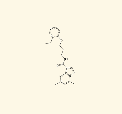 CCc1ccccc1OCCCNC(=O)c1ccn2c(C)cc(C)nc12